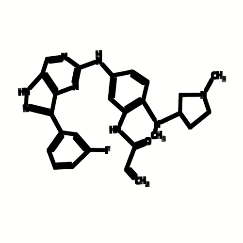 C=CC(=O)Nc1cc(Nc2ncc3[nH]nc(-c4cccc(F)c4)c3n2)ccc1N(C)C1CCN(C)C1